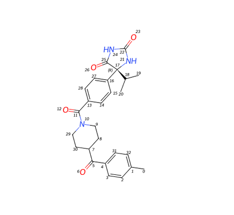 Cc1ccc(C(=O)C2CCN(C(=O)c3ccc([C@@]4(C(C)C)NC(=O)NC4=O)cc3)CC2)cc1